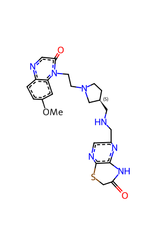 COc1ccc2ncc(=O)n(CCN3CC[C@@H](CNCc4cnc5c(n4)NC(=O)CS5)C3)c2c1